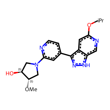 CO[C@H]1CN(c2cc(-c3n[nH]c4cnc(OC(C)C)cc34)ccn2)C[C@@H]1O